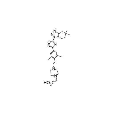 Cc1cc(-c2noc(-c3nn(C)c4c3CCC(C)(C)C4)n2)cc(C)c1CCN1CCN(CC(=O)O)CC1